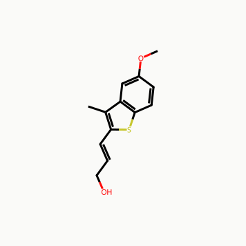 COc1ccc2sc(/C=C/CO)c(C)c2c1